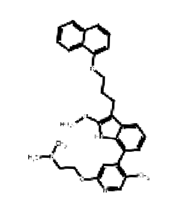 Cc1cnc(OCCN(C)C)cc1-c1cccc2c(CCCOc3cccc4ccccc34)c(OC(=O)O)[nH]c12